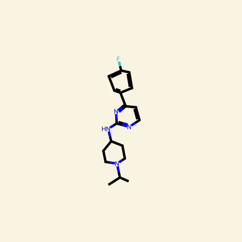 CC(C)N1CCC(Nc2nccc(-c3ccc(F)cc3)n2)CC1